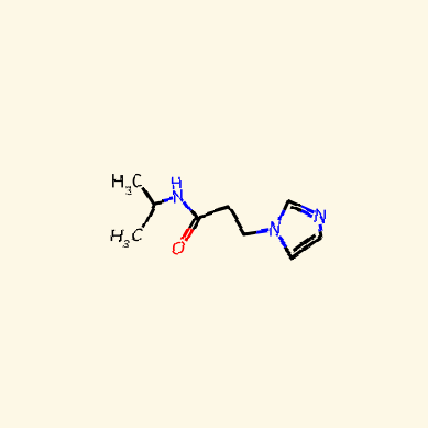 CC(C)NC(=O)CCn1ccnc1